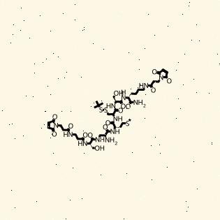 CSCC[C@H](NC(=O)[C@@H](N)CNC(=O)[C@H](CO)NC(=O)CCNC(=O)CCN1C(=O)C=CC1=O)C(=O)NC(CSSC(C)(C)C)C(=O)N[C@@H](CO)C(=O)N[C@H](CCCCNC(=O)CCN1C(=O)C=CC1=O)C(N)=O